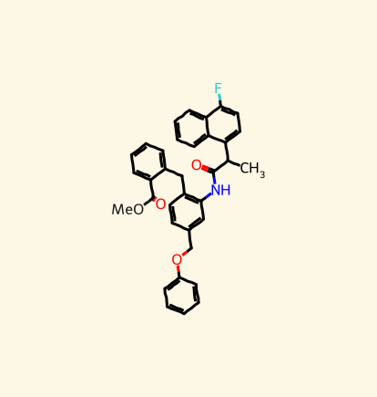 COC(=O)c1ccccc1Cc1ccc(COc2ccccc2)cc1NC(=O)C(C)c1ccc(F)c2ccccc12